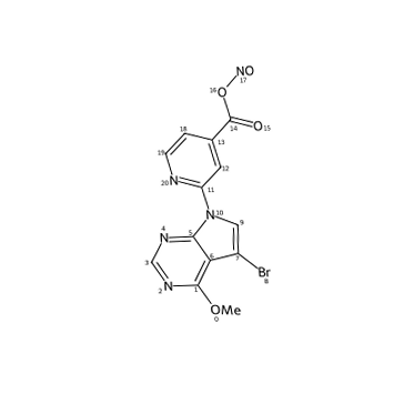 COc1ncnc2c1c(Br)cn2-c1cc(C(=O)ON=O)ccn1